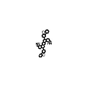 Cn1cc2ccc3c(-c4ccc5oc6ccccc6c5c4)cc4cc5c(cc(-c6ccc7oc8ccccc8c7c6)c6ccc7cn(C)nc7c65)cc4c3c2n1